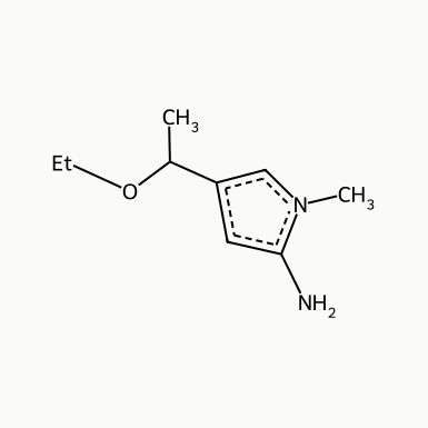 CCOC(C)c1cc(N)n(C)c1